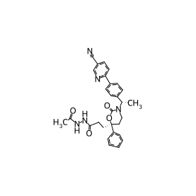 CC(=O)NNC(=O)CC[C@@]1(c2ccccc2)CCN([C@@H](C)c2ccc(-c3ccc(C#N)cn3)cc2)C(=O)O1